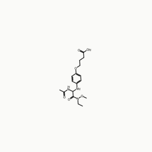 CCN(OC)C(=O)C(NC(C)=O)Nc1ccc(OCCCC(=O)O)cc1